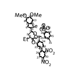 CCC(CC(=O)c1cc2cc(OC)c(OC)cc2[se]1)C(=O)OC(C)c1cc[n+](-c2ccc([N+](=O)[O-])cc2[N+](=O)[O-])cc1.Cc1ccc(S(=O)(=O)[O-])cc1